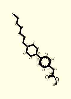 CCCCCCCC1CCC(c2ccc(CC(=O)OC)cc2)CC1